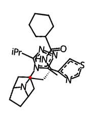 Cc1nnc(C(C)C)n1C1CC2CCC(C1)N2CC[C@H](NC(=O)C1CCCCC1)c1cscn1